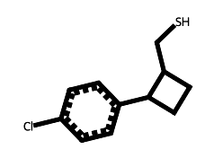 SCC1CCC1c1ccc(Cl)cc1